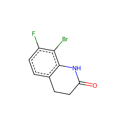 O=C1CCc2ccc(F)c(Br)c2N1